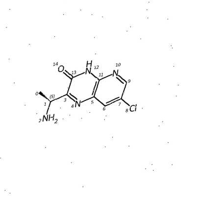 C[C@H](N)c1nc2cc(Cl)cnc2[nH]c1=O